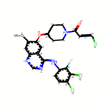 COc1cc2ncnc(Nc3ccc(Cl)c(Cl)c3F)c2cc1OC1CCN(C(=O)/C=C/Cl)CC1